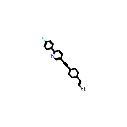 CCC=CC1CCC(C#Cc2ccc(-c3ccc(F)cc3)nc2)CC1